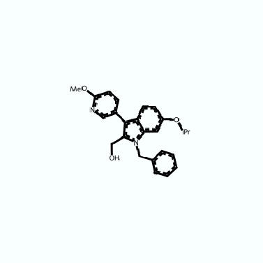 COc1ccc(-c2c(CO)n(Cc3ccccc3)c3cc(OC(C)C)ccc23)cn1